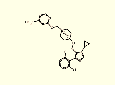 O=C(O)c1ccnc(OCC23CCC(OCc4c(-c5c(Cl)cccc5Cl)noc4C4CC4)(CC2)CC3)c1